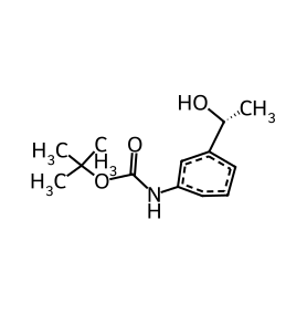 C[C@@H](O)c1cccc(NC(=O)OC(C)(C)C)c1